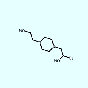 CCC(O)CN1CCN(CCO)CC1